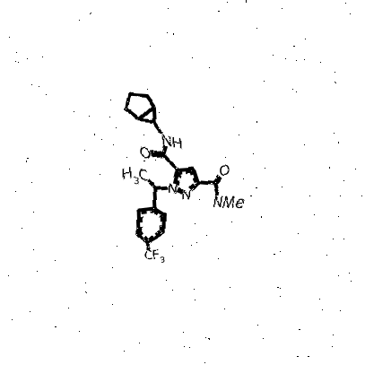 CNC(=O)c1cc(C(=O)NC2C3CCCC32)n(C(C)c2ccc(C(F)(F)F)cc2)n1